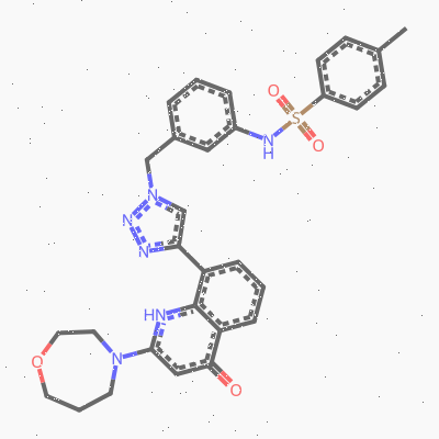 Cc1ccc(S(=O)(=O)Nc2cccc(Cn3cc(-c4cccc5c(=O)cc(N6CCCOCC6)[nH]c45)nn3)c2)cc1